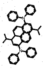 CC(C)c1cc(N(c2ccccc2)c2ccccc2)c2c3c4c(ccc13)C(N(c1ccccc1)c1ccccc1)=CC(C(C)C)C4C=C2